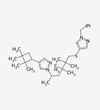 CC(C)Cn1cc(SCC(C)(C)C(C)(C)CC(C)n2cc(C3CC(C)(C)C3(C)C)cn2)cn1